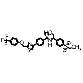 CCS(=O)(=O)c1ccc(C(CO)NC(=O)c2ccc(-c3csc(COc4ccc(C(F)(F)F)cc4)n3)cc2)cc1